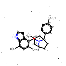 COc1cc(C)c2[nH]ccc2c1CN1C2CCC1(c1ccc(C(=O)O)cc1)CC(C)C2